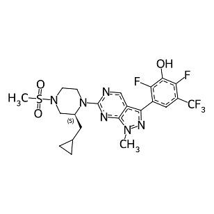 Cn1nc(-c2cc(C(F)(F)F)c(F)c(O)c2F)c2cnc(N3CCN(S(C)(=O)=O)C[C@@H]3CC3CC3)nc21